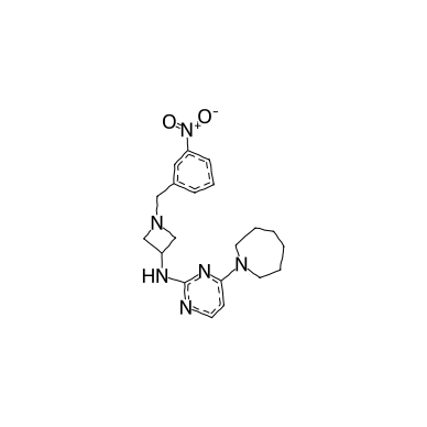 O=[N+]([O-])c1cccc(CN2CC(Nc3nccc(N4CCCCCC4)n3)C2)c1